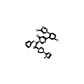 Cn1ccnc1N1CCN(C(=O)[C@H](Cc2ccccc2)n2cnc(-c3cc(Cl)ccc3-n3cc(Cl)nn3)cc2=O)CC1